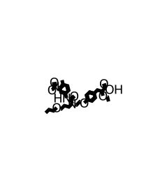 CCCOCCCN(CCOc1ccc(CC(OCC)C(=O)O)cc1)C(=O)Nc1ccc(C)c([N+](=O)[O-])c1